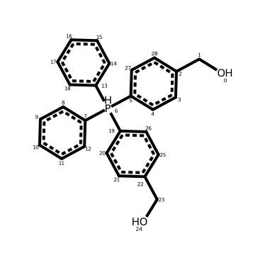 OCc1ccc([PH](c2ccccc2)(c2ccccc2)c2ccc(CO)cc2)cc1